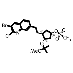 COC(C)(C)O[C@H]1C[C@@H](OS(=O)(=O)C(F)(F)F)C[C@@H]1CCc1ccc2cc(Br)c(Cl)nc2c1